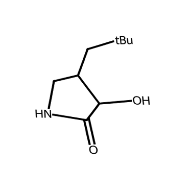 CC(C)(C)CC1CNC(=O)C1O